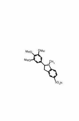 COc1cc(C2Cc3cc(S(=O)(=O)O)ccc3N2C)cc(OC)c1OC